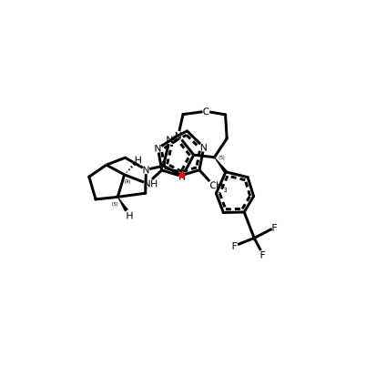 Cc1cc(N2CC3CC[C@@H](C2)[C@@H]3Nc2nc3n(n2)CCCC[C@H]3c2ccc(C(F)(F)F)cc2)ncn1